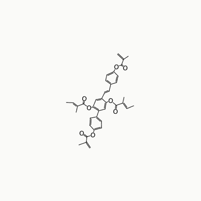 C=C(C)C(=O)Oc1ccc(/C=C/c2cc(OC(=O)/C(C)=C/C)c(-c3ccc(OC(=O)C(=C)C)cc3)cc2OC(=O)/C(C)=C/C)cc1